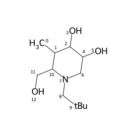 CC1C(O)C(O)CN(CC(C)(C)C)C1CO